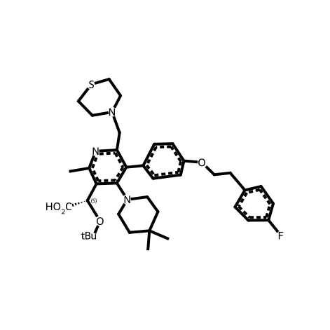 Cc1nc(CN2CCSCC2)c(-c2ccc(OCCc3ccc(F)cc3)cc2)c(N2CCC(C)(C)CC2)c1[C@H](OC(C)(C)C)C(=O)O